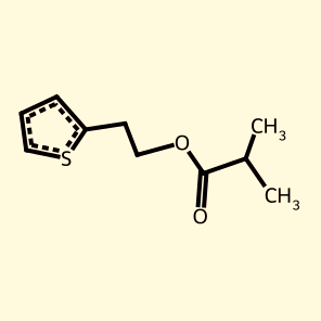 CC(C)C(=O)OCCc1cccs1